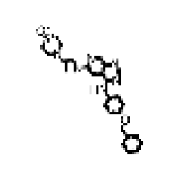 [O-][S+]1CCN(CCNc2cc3c(Nc4ccc(OCc5ccccc5)cc4)ncnc3cn2)CC1